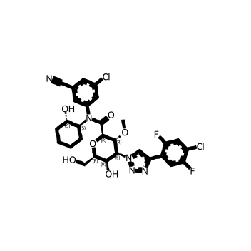 CO[C@@H]1[C@@H](n2cc(-c3cc(F)c(Cl)cc3F)nn2)[C@@H](O)[C@@H](CO)O[C@H]1C(=O)N(c1cc(Cl)cc(C#N)c1)[C@H]1CCCC[C@@H]1O